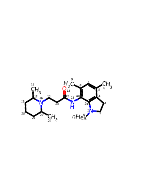 CCCCCCN1CCc2c(C)cc(C)c(NC(=O)CCN3C(C)CCCC3C)c21